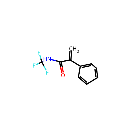 C=C(C(=O)NC(F)(F)F)c1ccccc1